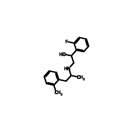 Cc1ccccc1CC(C)NCC(O)c1ccccc1F